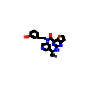 CC(Nc1nc(C(=O)NCCc2cccc(O)c2)c2sccc2n1)c1cccnc1